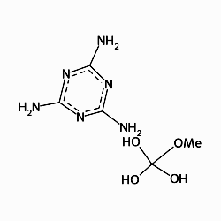 COC(O)(O)O.Nc1nc(N)nc(N)n1